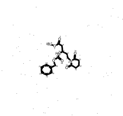 CC(C)(C)OC(=O)CC(CCN1C(=O)CCCC1=O)NC(=O)OCc1ccccc1